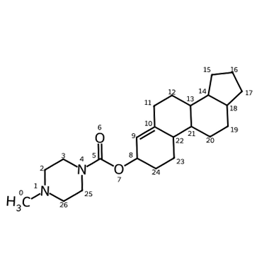 CN1CCN(C(=O)OC2C=C3CCC4C5CCCC5CCC4C3CC2)CC1